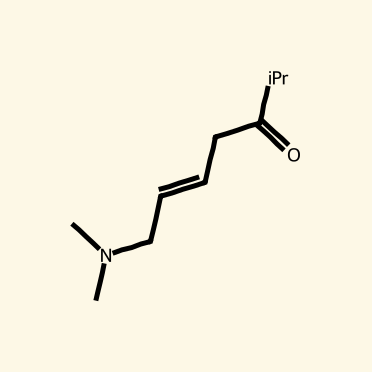 CC(C)C(=O)C/C=C/CN(C)C